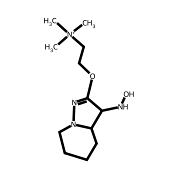 C[N+](C)(C)CCOC1=NN2CCCCC2C1NO